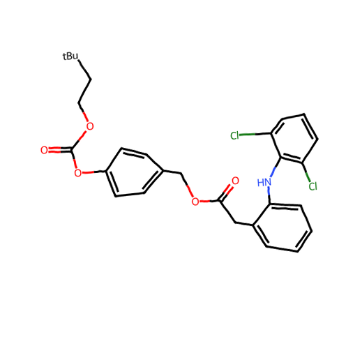 CC(C)(C)CCOC(=O)Oc1ccc(COC(=O)Cc2ccccc2Nc2c(Cl)cccc2Cl)cc1